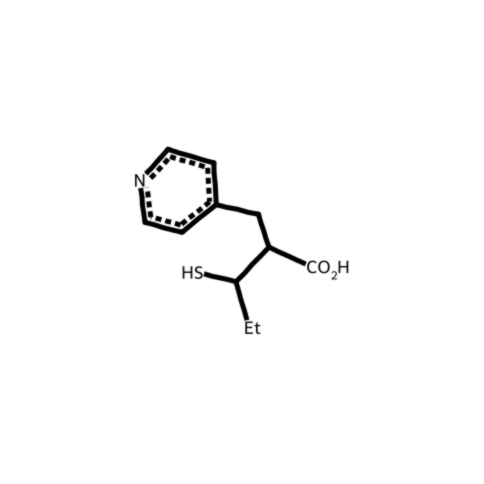 CCC(S)C(Cc1ccncc1)C(=O)O